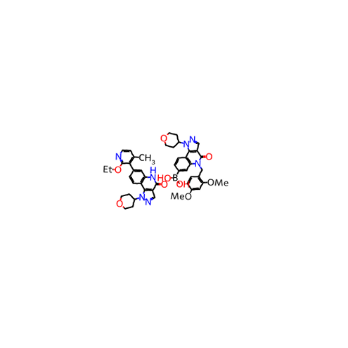 CCOc1nccc(C)c1-c1ccc2c(c1)[nH]c(=O)c1cnn(C3CCOCC3)c12.COc1ccc(Cn2c(=O)c3cnn(C4CCOCC4)c3c3ccc(B(O)O)cc32)c(OC)c1